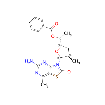 Cc1nc(N)nc2c1sc(=O)n2[C@@H]1O[C@H](C(C)OC(=O)c2ccccc2)C[C@H]1C